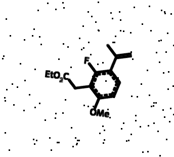 C=C(C)c1ccc(OC)c(CC(=O)OCC)c1F